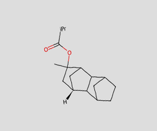 CC(C)C(=O)OC1(C)C[C@@H]2CC1C1C3CCC(C3)C12